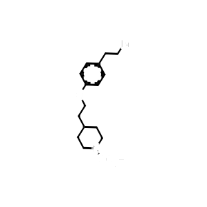 O=C(O)N1CCC(CCOc2ccc(CCBr)cc2)CC1